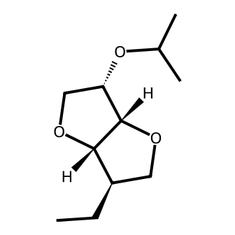 CC[C@@H]1CO[C@@H]2[C@H]1OC[C@@H]2OC(C)C